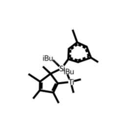 CCC(C)[Si](c1cc(C)cc(C)c1)(C(C)CC)C1(C)C(C)=C(C)C(C)=[C]1[Ti]([CH3])([CH3])[CH3]